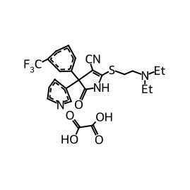 CCN(CC)CCSC1=C(C#N)C(c2cccnc2)(c2cccc(C(F)(F)F)c2)C(=O)N1.O=C(O)C(=O)O